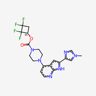 Cn1cnc(-c2cc3c(N4CCN(C(=O)O[C@@H]5CC(F)(F)C5(F)F)CC4)ccnc3[nH]2)c1